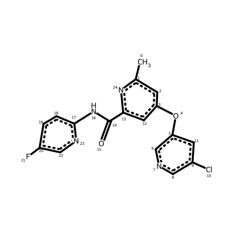 Cc1cc(Oc2cncc(Cl)c2)cc(C(=O)Nc2ccc(F)cn2)n1